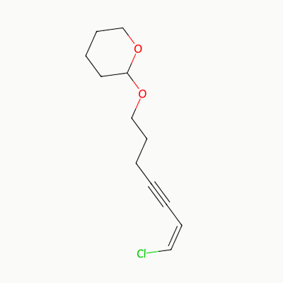 Cl/C=C\C#CCCCOC1CCCCO1